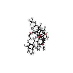 C=CCOc1c(C)c2c(c3c1[C@H]1SC[C@]4(NCCc5cc(OC(=O)OC(C)(C)C)c(OC)cc54)C(=O)OC[C@@H]3N3C1[C@H]1c4c(cc(C)c(OC)c4O)C4C([C@@H]3C#N)N41)OCO2